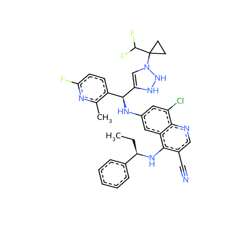 CC[C@@H](Nc1c(C#N)cnc2c(Cl)cc(N[C@H](C3=CN(C4(C(F)F)CC4)NN3)c3ccc(F)nc3C)cc12)c1ccccc1